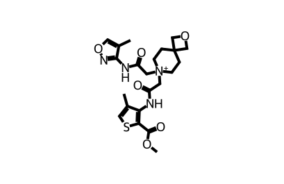 COC(=O)c1scc(C)c1NC(=O)C[N+]1(CC(=O)Nc2nocc2C)CCC2(CC1)COC2